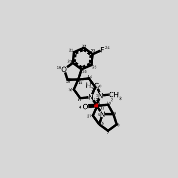 CN(C)C(=O)N1C2CCC1CC(N1CCC3(CC1)COc1ccc(F)cc13)C2